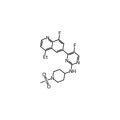 CCc1ccnc2c(F)cc(-c3nc(NC4CCN(S(C)(=O)=O)CC4)ncc3F)cc12